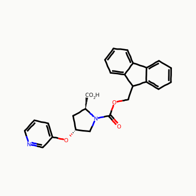 O=C(O)[C@@H]1C[C@@H](Oc2cccnc2)CN1C(=O)OCC1c2ccccc2-c2ccccc21